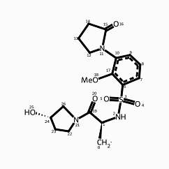 [CH2][C@H](NS(=O)(=O)c1cccc(N2CCCC2=O)c1OC)C(=O)N1CC[C@H](O)C1